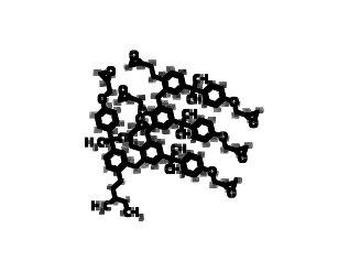 CCC(C)CCc1ccc(C(C)(C)c2ccc(OCC3CO3)cc2)cc1Cc1cc(C(C)(C)c2ccc(OCC3CO3)cc2)cc(Cc2cc(C(C)(C)c3ccc(OCC4CO4)cc3)cc(Cc3cc(C(C)(C)c4ccc(OCC5CO5)cc4)ccc3CCC3CO3)c2OCC2CO2)c1CCC1CO1